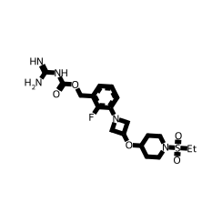 CCS(=O)(=O)N1CCC(OC2CN(c3cccc(COC(=O)NC(=N)N)c3F)C2)CC1